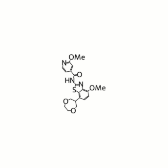 COc1cc(C(=O)Nc2nc3c(OC)ccc(C4COCCOC4)c3s2)ccn1